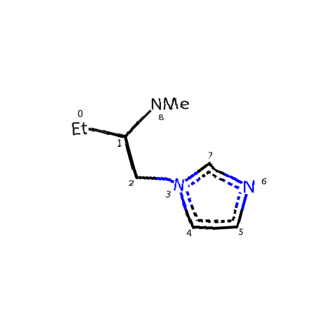 CCC(Cn1ccnc1)NC